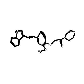 COc1cc(C=Cc2n[nH]c3ccccc23)ccc1OCC(=O)N1CCOCC1